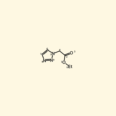 CCOC(=O)Cn1[c]cnn1